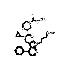 COCCCn1cc(CN(C(=O)[C@H]2CN(C(=O)OC(C)(C)C)CCO2)C2CC2)c2c(-c3ccccc3)ccnc21